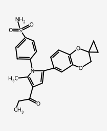 CCC(=O)c1cc(-c2ccc3c(c2)OCC2(CC2)O3)n(-c2ccc(S(N)(=O)=O)cc2)c1C